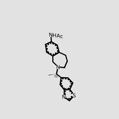 CC(=O)Nc1ccc2c(c1)CCCN([C@@H](C)c1ccc3scnc3c1)C2